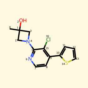 CC1(O)CN(c2nccc(-c3cccs3)c2Cl)C1